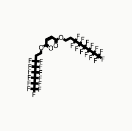 O=C(/C=C\C(=O)OCCC(F)(F)C(F)(F)C(F)(F)C(F)(F)C(F)(F)C(F)(F)F)OCCC(F)(F)C(F)(F)C(F)(F)C(F)(F)C(F)(F)C(F)(F)F